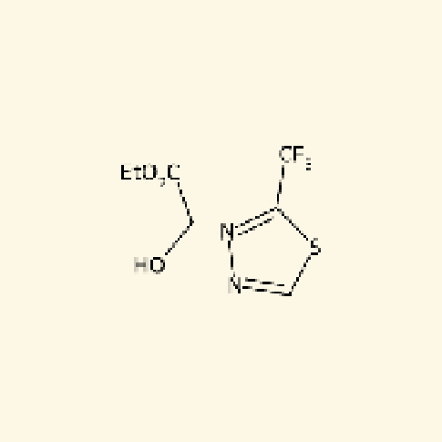 CCOC(=O)CO.FC(F)(F)c1nncs1